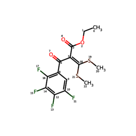 CCOC(=O)C(C(=O)c1cc(F)c(F)c(F)c1F)=C(SC)SC